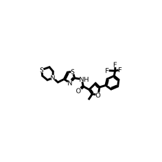 Cc1oc(-c2cccc(C(F)(F)F)c2)cc1C(=O)Nc1nc(CN2CCSCC2)cs1